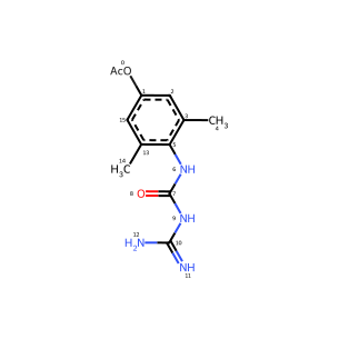 CC(=O)Oc1cc(C)c(NC(=O)NC(=N)N)c(C)c1